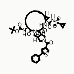 CC(C)(C)OC(=O)N[C@@H]1CCCCC/C=C\[C@@H]2C[C@@]2(C(=O)NS(=O)(=O)C2CC2)NC(=O)[C@@H]2[C@H]3CN(C(=O)c4csc(-c5ccccc5)c4)C[C@H]3CN2C1=O